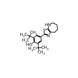 CC(C)(C)c1cc(-c2nc3c(s2)NCCCC3)cc(C(C)(C)C)c1O